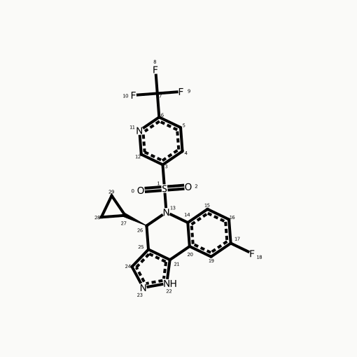 O=S(=O)(c1ccc(C(F)(F)F)nc1)N1c2ccc(F)cc2-c2[nH]ncc2[C@H]1C1CC1